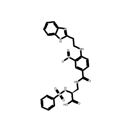 O=C(NC[C@H](NS(=O)(=O)c1ccccc1)C(=O)O)c1ccc(NCCc2nc3ccccc3[nH]2)c([N+](=O)[O-])c1